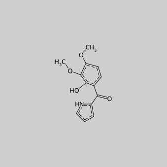 COc1ccc(C(=O)c2ccc[nH]2)c(O)c1OC